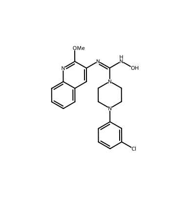 COc1nc2ccccc2cc1N=C(NO)N1CCN(c2cccc(Cl)c2)CC1